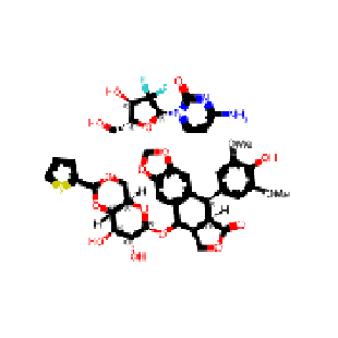 COc1cc([C@@H]2c3cc4c(cc3C(O[C@@H]3O[C@@H]5COC(c6cccs6)O[C@H]5[C@H](O)[C@H]3O)C3COC(=O)[C@@H]32)OCO4)cc(OC)c1O.Nc1ccn([C@@H]2O[C@H](CO)[C@@H](O)C2(F)F)c(=O)n1